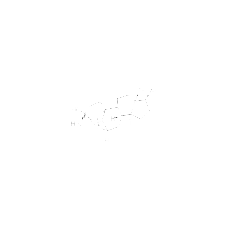 CC(=O)[C@H]1CC[C@H]2[C@@H]3C[C@H]4O[C@H](C)C5(CC[C@@](C)(O)CC45)C3CC[C@]12C